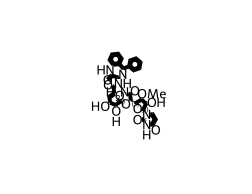 COC1C(O)[C@H](n2ccc(=O)[nH]c2=O)O[C@@H]1C(O[C@H]1OC(C(=O)NC2N=C(c3ccccc3)c3ccccc3NC2=O)=CC(O)C1O)C(N)=O